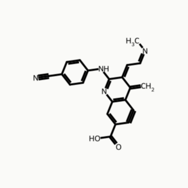 C=c1/c(=C\C=N/C)c(Nc2ccc(C#N)cc2)nc2cc(C(=O)O)c#cc12